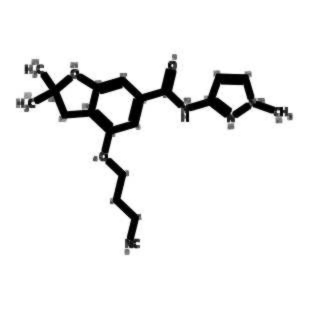 [C-]#[N+]CCCOc1cc(C(=O)Nc2ccn(C)n2)cc2c1CC(C)(C)O2